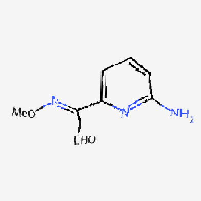 CO/N=C(\[C]=O)c1cccc(N)n1